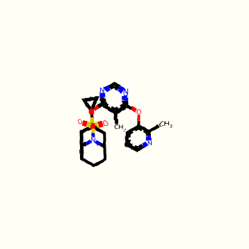 Cc1ncccc1Oc1ncnc(OC2CC3CCCC(C2)N3S(=O)(=O)C2CC2)c1C